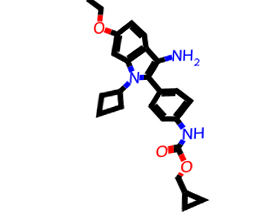 CCOc1ccc2c(N)c(-c3ccc(NC(=O)OCC4CC4)cc3)n(C3CCC3)c2c1